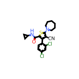 N#Cc1c(N2CCCCCC2)sc(C(=O)NC2CC2)c1-c1ccc(Cl)cc1Cl